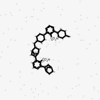 CC1CCC(c2cccc(C3CCC(CC4CC5CC4CC5c4cccc(C5CC6CCC5C6)c4C(=O)O)CC3)c2C(=O)O)CC1